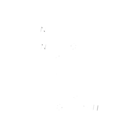 N=NC(=O)CCC(=O)O